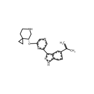 C=C(C)c1ccc2[nH]nc(-c3cncc(O[C@H]4CNCCC45CC5)n3)c2c1